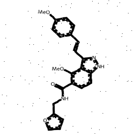 COc1ccc(/C=C/c2n[nH]c3ccc(C(=O)NCc4ccco4)c(OC)c23)cc1